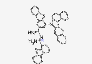 N=C(/N=C(\N)c1cccc2c1sc1ccccc12)c1cc(-n2c3cc4ccccc4cc3c3c4ccccc4ccc32)c2sc3ccccc3c2c1